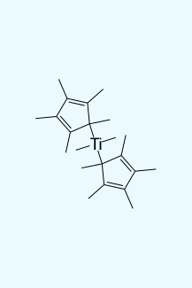 CC1=C(C)[C](C)([Ti]([CH3])([CH3])[C]2(C)C(C)=C(C)C(C)=C2C)C(C)=C1C